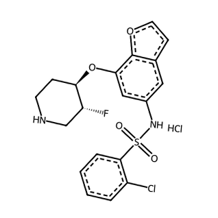 Cl.O=S(=O)(Nc1cc(O[C@@H]2CCNC[C@H]2F)c2occc2c1)c1ccccc1Cl